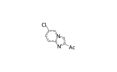 CC(=O)c1cn2cc(Cl)ccc2n1